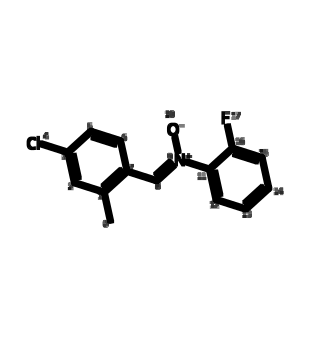 Cc1cc(Cl)ccc1C=[N+]([O-])c1ccccc1F